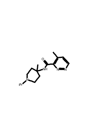 Cc1ccnnc1C(=O)NC1(C)CCN(C(C)C)CC1